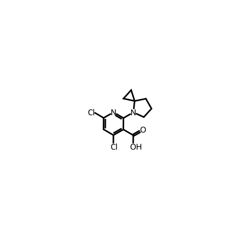 O=C(O)c1c(Cl)cc(Cl)nc1N1CCCC12CC2